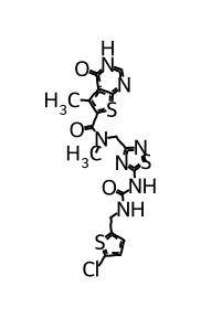 Cc1c(C(=O)N(C)Cc2nsc(NC(=O)NCc3ccc(Cl)s3)n2)sc2nc[nH]c(=O)c12